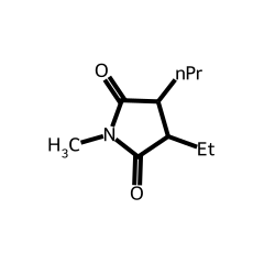 CCCC1C(=O)N(C)C(=O)C1CC